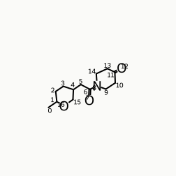 CC1CCC(CC(=O)N2CCC(=O)CC2)CO1